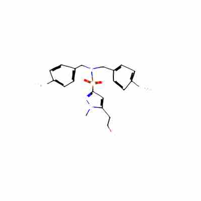 COc1ccc(CN(Cc2ccc(OC)cc2)S(=O)(=O)c2cc(CCO)n(C)n2)cc1